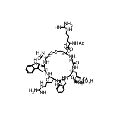 CC(=O)N[C@@H](CCCNC(=N)N)C(=O)N[C@H]1CSSC[C@@H](C(N)=O)NC(=O)[C@H](Cc2c[nH]c3ccccc23)NC(=O)[C@H](CCCNC(=N)N)NC(=O)[C@@H](Cc2ccccc2)NC(=O)[C@H](Cc2c[nH]cn2)NC(=O)[C@@H](C)NC1=O.CC(=O)O.CC(=O)O